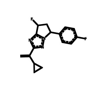 C=C(c1nc2n(n1)C(c1ccc(F)cc1)CC2F)C1CC1